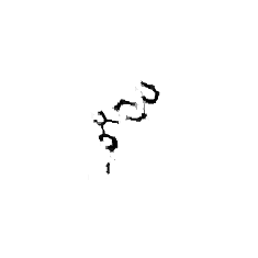 C[C@@H]1CN(Cc2c[nH]nc2-c2ccc(NCCO)nc2)CCN1c1ccc(C(F)(F)F)cn1